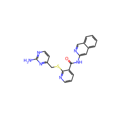 Nc1nccc(CSc2ncccc2C(=O)Nc2cc3ccccc3cn2)n1